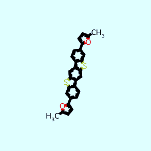 Cc1ccc(-c2ccc3c(c2)sc2cc4c(cc23)sc2cc(-c3ccc(C)o3)ccc24)o1